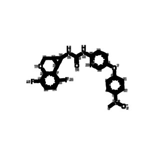 C[S+]([O-])c1ccc(Oc2ccc(NC(=O)NC3C4COc5c(F)ccc(F)c5C43)nc2)cc1